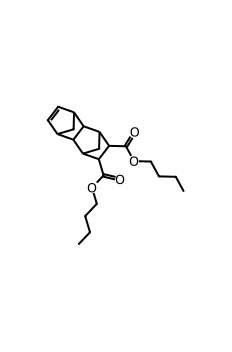 CCCCOC(=O)C1C2CC(C1C(=O)OCCCC)C1C3C=CC(C3)C21